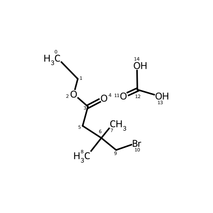 CCOC(=O)CC(C)(C)CBr.O=C(O)O